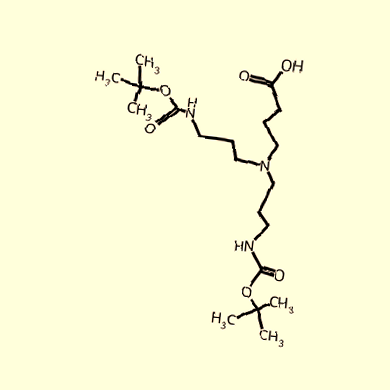 CC(C)(C)OC(=O)NCCCN(CCCNC(=O)OC(C)(C)C)CCCC(=O)O